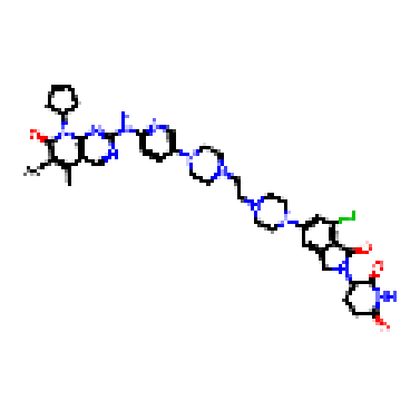 CC(=O)c1c(C)c2cnc(Nc3ccc(N4CCN(CCN5CCN(c6cc(Cl)c7c(c6)CN(C6CCC(=O)NC6=O)C7=O)CC5)CC4)cn3)nc2n(C2CCCC2)c1=O